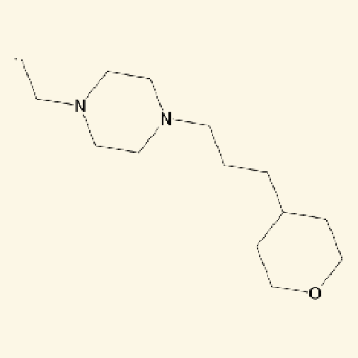 [CH2]CN1CCN(CCCC2CCOCC2)CC1